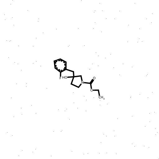 CCOC(=O)N1CCC(O)(Cc2ccccc2F)C1